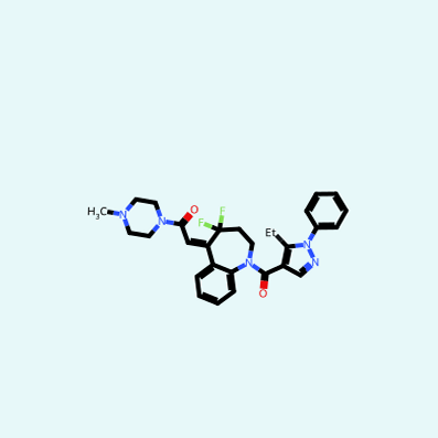 CCc1c(C(=O)N2CCC(F)(F)C(=CC(=O)N3CCN(C)CC3)c3ccccc32)cnn1-c1ccccc1